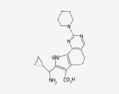 NC(c1[nH]c2c(c1C(=O)O)CCc1cnc(N3CCCCC3)nc1-2)C1CC1